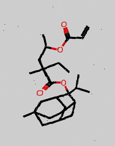 C=CC(=O)OC(C)CC(C)(CC)C(=O)OC1(C(C)C)C2CC3CC1CC(C)(C3)C2